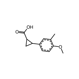 COc1ccc(C2CC2C(=O)O)cc1C